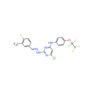 Fc1ccc(/C=N/Nc2nc(Cl)cc(Nc3ccc(OC(F)(F)C(F)F)cc3)n2)cc1C(F)(F)F